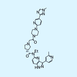 CCN(C(=O)[C@@H]1CCN(CC(=O)N2CCN(c3ccc(-c4ncn(C)n4)cn3)CC2)C1)c1ccc2[nH]nc(-c3ccnc(C)c3)c2n1